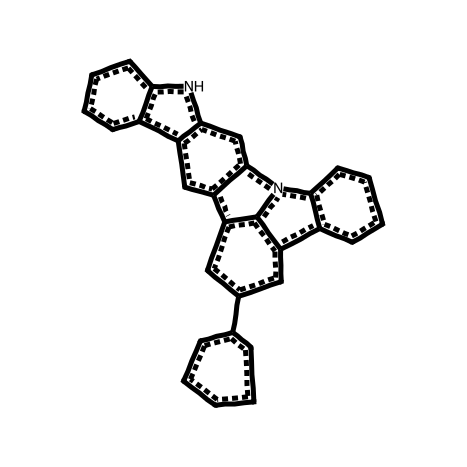 c1ccc(-c2cc3c4ccccc4n4c5cc6[nH]c7ccccc7c6cc5c(c2)c34)cc1